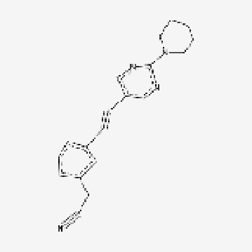 N#CCc1cccc(C#Cc2cnc(N3CCCCC3)nc2)c1